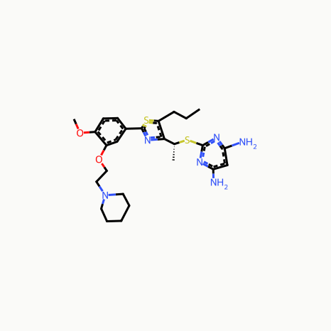 CCCc1sc(-c2ccc(OC)c(OCCN3CCCCC3)c2)nc1[C@@H](C)Sc1nc(N)cc(N)n1